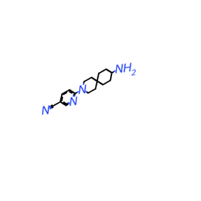 N#Cc1ccc(N2CCC3(CCC(N)CC3)CC2)nc1